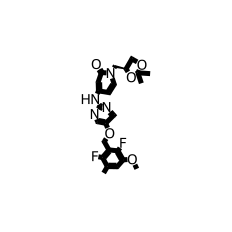 COc1cc(C)c(F)c(COc2cnc(Nc3ccn(C[C@H]4COC(C)(C)O4)c(=O)c3)nc2)c1F